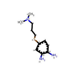 CN(C)CCCSc1ccc(N)c(N)c1